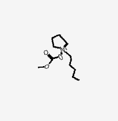 CCCCC[N+]1(OC(=O)OC)CCCC1